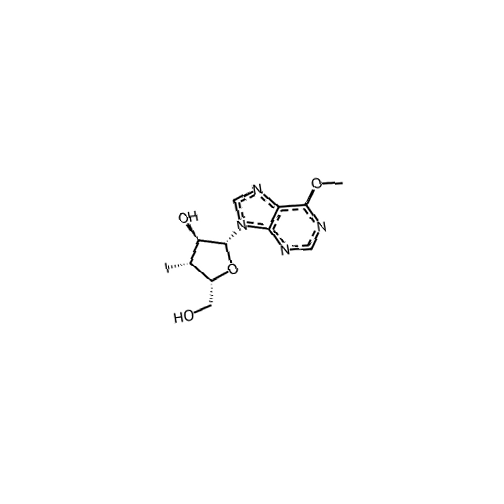 COc1ncnc2c1ncn2[C@@H]1O[C@H](CO)[C@H](I)[C@H]1O